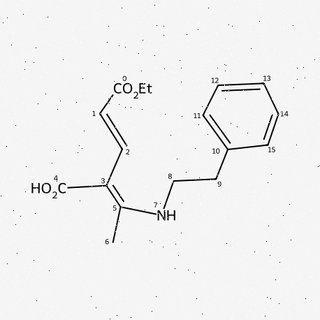 CCOC(=O)C=CC(C(=O)O)=C(C)NCCc1ccccc1